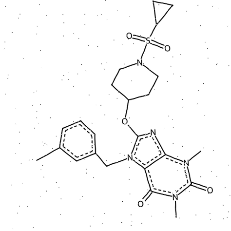 Cc1cccc(Cn2c(OC3CCN(S(=O)(=O)C4CC4)CC3)nc3c2c(=O)n(C)c(=O)n3C)c1